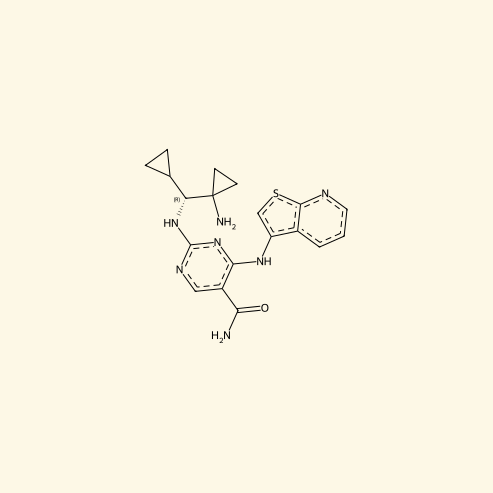 NC(=O)c1cnc(N[C@H](C2CC2)C2(N)CC2)nc1Nc1csc2ncccc12